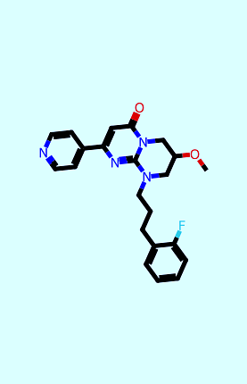 COC1CN(CCCc2ccccc2F)c2nc(-c3ccncc3)cc(=O)n2C1